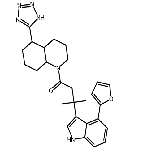 CC(C)(CC(=O)N1CCCC2C(c3nnn[nH]3)CCCC21)c1c[nH]c2cccc(-c3ccco3)c12